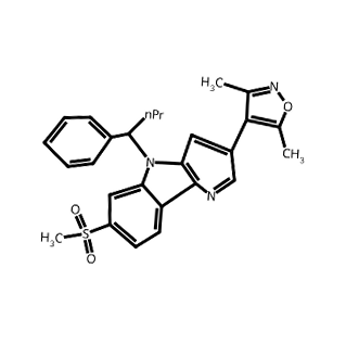 CCCC(c1ccccc1)n1c2cc(S(C)(=O)=O)ccc2c2ncc(-c3c(C)noc3C)cc21